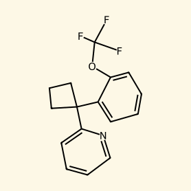 FC(F)(F)Oc1ccccc1C1(c2ccccn2)CCC1